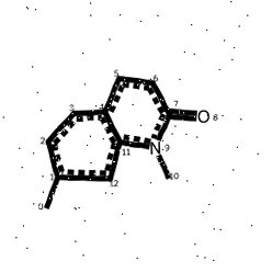 Cc1ccc2ccc(=O)n(C)c2c1